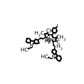 C#CCn1c2ccccc2c2cc(/C=C/C3=[N+]4C(=C(c5ccc(I)cc5)c5c(C)c(C)c(/C=C/c6ccc7c(c6)c6ccccc6n7CC#C)n5[B-]4(F)F)C(C)=C3C)ccc21